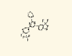 Fc1ccc(-c2cc(-c3ccc(F)c(C(F)(F)F)c3)nc(-c3ccccc3)n2)cc1C(F)(F)F